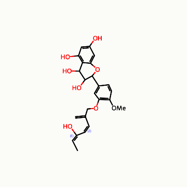 C=C(/C=C\C(O)=C/C)COc1cc(C2Oc3cc(O)cc(O)c3C(O)C2O)ccc1OC